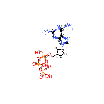 Nc1nc(N)c2ncn([C@H]3CC[C@@H](COP(=O)(O)OP(=O)(O)OP(=O)(O)O)C3)c2n1